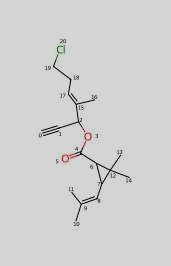 C#CC(OC(=O)C1C(C=C(C)C)C1(C)C)/C(C)=C/CCCl